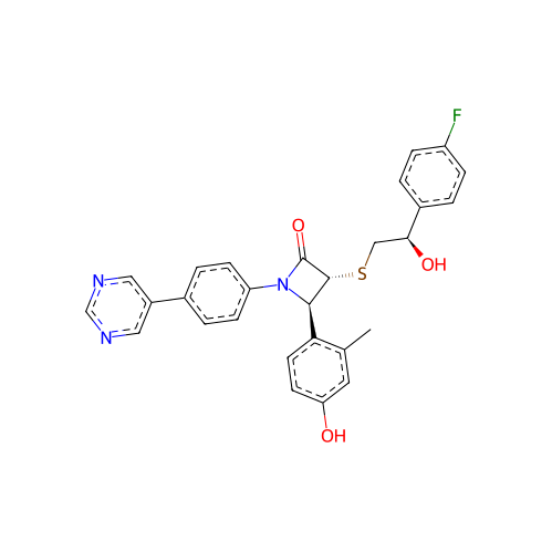 Cc1cc(O)ccc1[C@@H]1[C@@H](SC[C@H](O)c2ccc(F)cc2)C(=O)N1c1ccc(-c2cncnc2)cc1